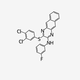 Fc1cccc(Nc2nc3cc4ccccc4cc3nc2Sc2ccc(Cl)c(Cl)c2)c1